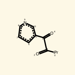 CC(C)C(=O)C(=O)c1cccnc1